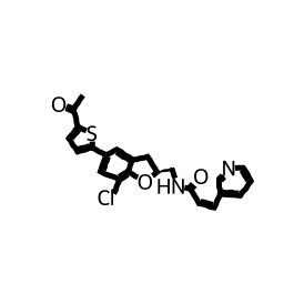 CC(=O)c1ccc(-c2cc(Cl)c3c(c2)C[C@@H](CNC(=O)/C=C\c2cccnc2)O3)s1